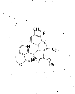 Cc1cc2c(F)c(C)ccc2c(-c2ccc3c4c(ccnc24)CCO3)c1C(OC(C)(C)C)C(=O)O